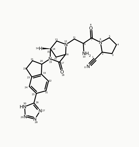 N#CC1CCCN1C(=O)C(N)CN1C[C@@H]2CC1C(=O)N2C1CCc2cc(-c3nnn[nH]3)ccc21